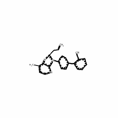 C=CCc1nc2c(C)ccnc2n1-c1ccc(-c2ccccc2C#N)cc1